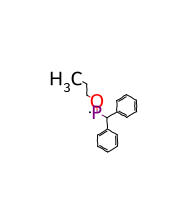 CCCO[P]C(c1ccccc1)c1ccccc1